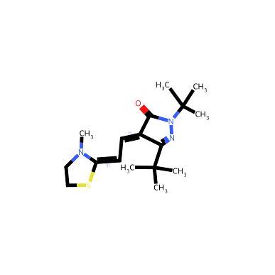 CN1CCS/C1=C/C=C1/C(=O)N(C(C)(C)C)N=C1C(C)(C)C